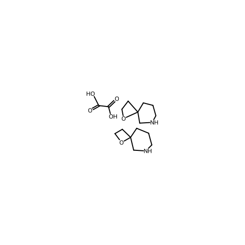 C1CNCC2(C1)CCO2.C1CNCC2(C1)CCO2.O=C(O)C(=O)O